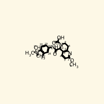 COc1ccc2c(n1)CCN(C(=O)O)C2C(=O)Nc1ccc([Si](C)(C)C)c(F)c1